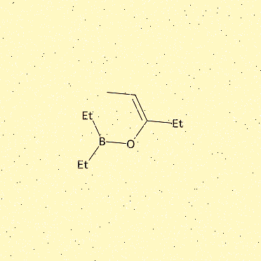 CC=C(CC)OB(CC)CC